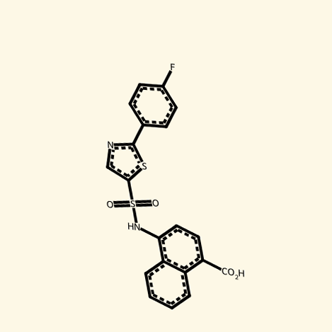 O=C(O)c1ccc(NS(=O)(=O)c2cnc(-c3ccc(F)cc3)s2)c2ccccc12